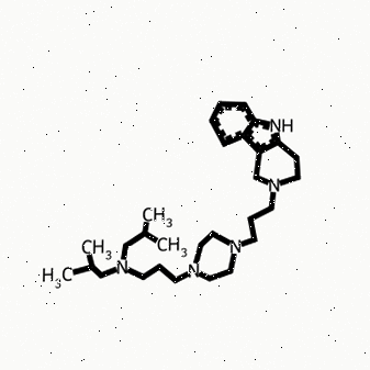 CC(C)CN(CCCN1CCN(CCCN2CCc3[nH]c4ccccc4c3C2)CC1)CC(C)C